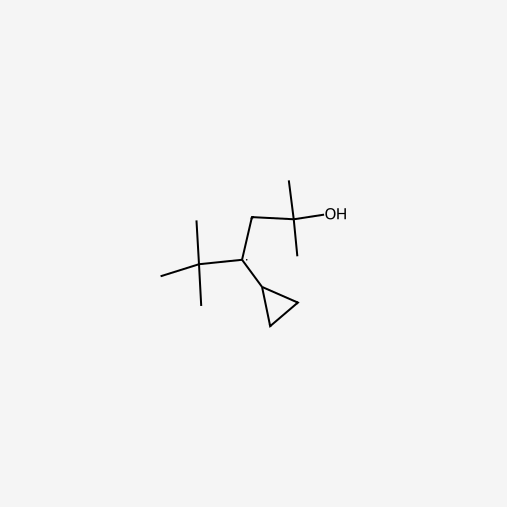 CC(C)(O)C[C](C1CC1)C(C)(C)C